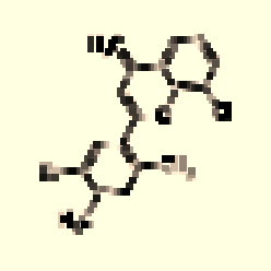 C=C1C=C(c2cc(CC)c(C)cc2C)Oc2c(Cl)cccc21